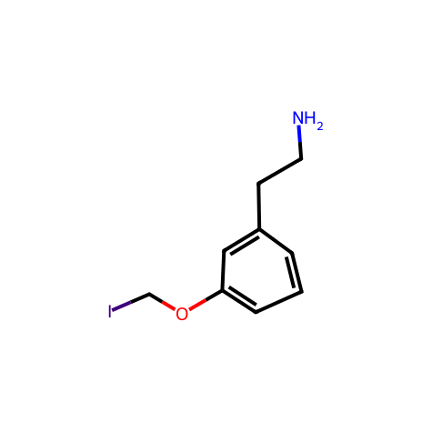 NCCc1cccc(OCI)c1